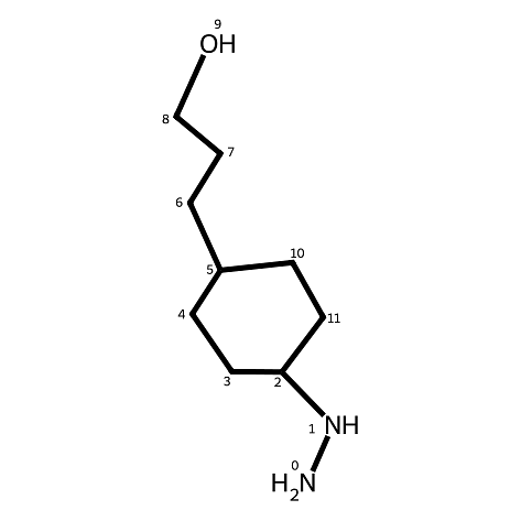 NNC1CCC(CCCO)CC1